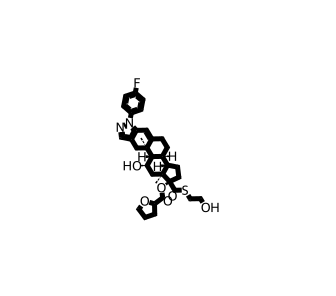 C[C@]12Cc3cnn(-c4ccc(F)cc4)c3C=C1CC[C@@H]1[C@@H]2[C@@H](O)C[C@@]2(C)[C@H]1CC[C@]2(OC(=O)C1CCCO1)C(=O)SCCO